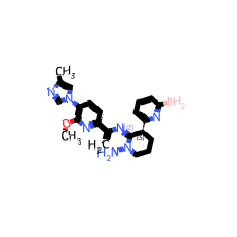 Bc1cccc([C@@H]2CCCN(N)/C2=N\C(=C)c2ccc(-n3cnc(C)c3)c(OC)n2)n1